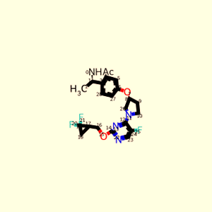 CC(=O)N[C@@H](C)c1ccc(O[C@@H]2CCN(c3nc(OCC4CC4(F)F)ncc3F)C2)cc1